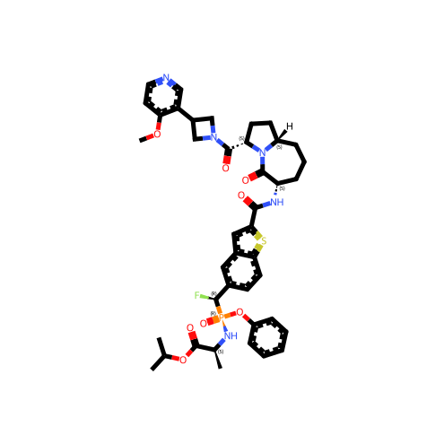 COc1ccncc1C1CN(C(=O)[C@@H]2CC[C@@H]3CCC[C@H](NC(=O)c4cc5cc([C@H](F)[P@](=O)(N[C@@H](C)C(=O)OC(C)C)Oc6ccccc6)ccc5s4)C(=O)N32)C1